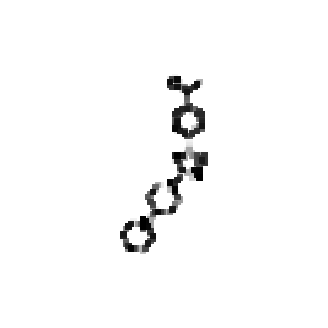 CC(=O)c1ccc(-c2nnc(N3CCC(N4CCCCC4)CC3)s2)cc1